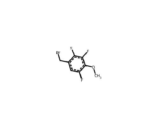 COc1c(F)cc(CBr)c(F)c1F